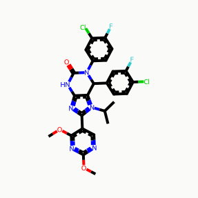 COc1ncc(-c2nc3c(n2C(C)C)C(c2ccc(Cl)c(F)c2)N(c2ccc(F)c(Cl)c2)C(=O)N3)c(OC)n1